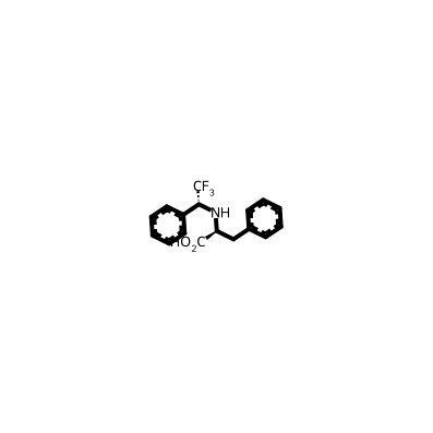 O=C(O)[C@H](Cc1ccccc1)N[C@H](c1ccccc1)C(F)(F)F